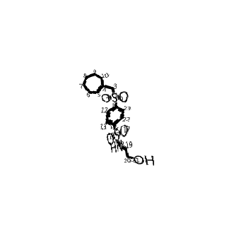 O=S(=O)(CC1=CCCCCC1)c1ccc(S(=O)(=O)NCCO)cc1